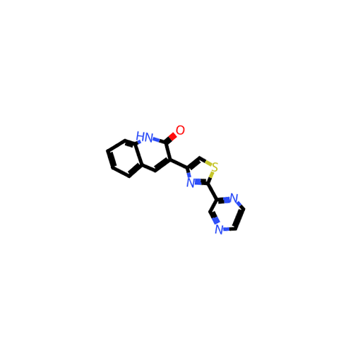 O=c1[nH]c2ccccc2cc1-c1csc(-c2cnccn2)n1